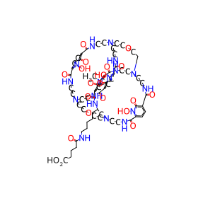 Cn1c2ccc(c1=O)C(=O)NC(CCCCCNC(=O)CCCC(=O)O)CN1CCNC(=O)c3ccc(c(=O)n3O)C(=O)NCCN(CCNC2=O)CCOCCN2CCNC(=O)c3ccc(n(O)c3=O)C(=O)NCCN(CCNC(=O)c3ccc(n(O)c3=O)C(=O)NCC2)CCOCC1